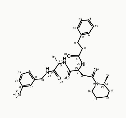 C[C@H](NC(=O)[C@H](CC(=O)N1CCCC[C@@H]1C)NC(=O)CCc1ccccc1)C(=O)NCc1cccc(N)c1